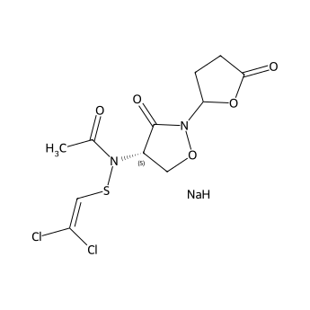 CC(=O)N(SC=C(Cl)Cl)[C@H]1CON(C2CCC(=O)O2)C1=O.[NaH]